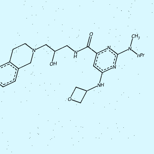 CCCN(C)c1nc(NC2COC2)cc(C(=O)NCC(O)CN2CCc3ccccc3C2)n1